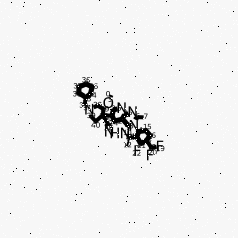 COc1nc2nc(C)nc(N[C@H](C)c3cccc(C(F)F)c3F)c2cc1C1(C#N)CCN(Cc2ccccc2)CC1